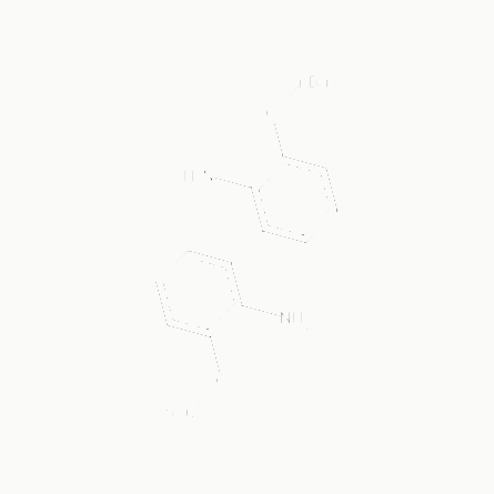 CCCCOc1cccc(-c2cccc(OCCCC)c2N)c1N